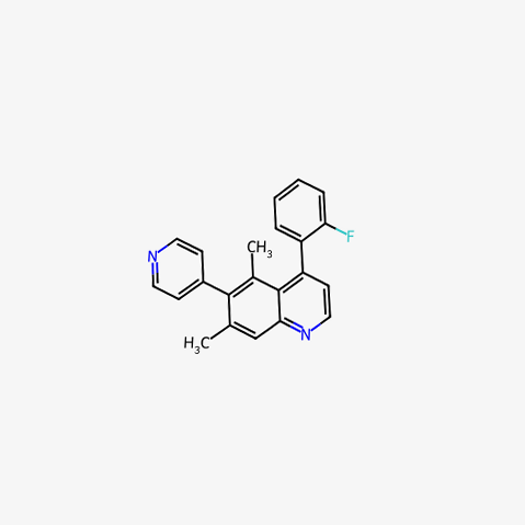 Cc1cc2nccc(-c3ccccc3F)c2c(C)c1-c1ccncc1